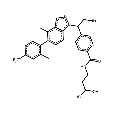 Cc1cc(C(F)(F)F)ccc1-c1ccc2c(cnn2C(CC(C)C)c2ccc(C(=O)NCCC(O)O)nc2)c1C